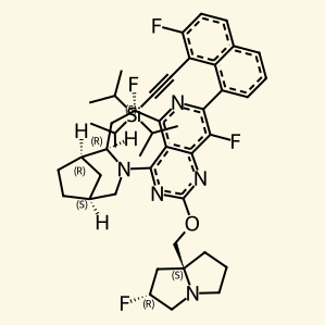 CC(C)[Si](C#Cc1c(F)ccc2cccc(-c3nc4c5c(nc(OC[C@@]67CCCN6C[C@H](F)C7)nc5c3F)N3C[C@H]5CC[C@H](C5)[C@H]3C[C@@H]4F)c12)(C(C)C)C(C)C